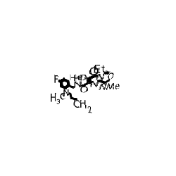 C=CCCN(C)c1cc(F)ccc1CNC(=O)c1nc2n(c(=O)c1O)[C@@H](CC)COC[C@H]2NC